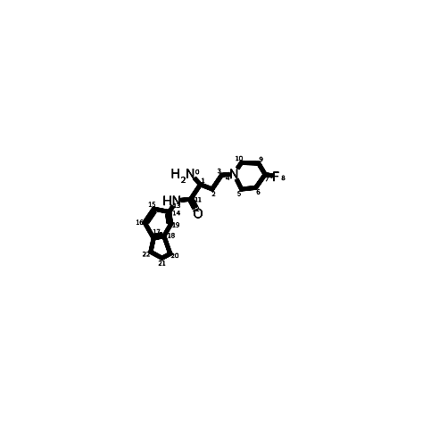 NC(CCN1CCC(F)CC1)C(=O)Nc1ccc2c(c1)CCC2